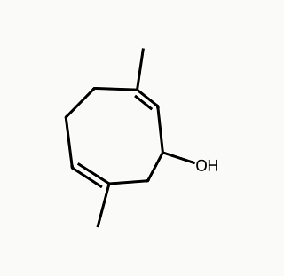 CC1=CC(O)CC(C)=CCC1